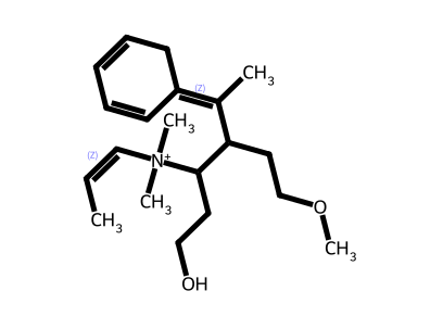 C/C=C\[N+](C)(C)C(CCO)C(CCOC)/C(C)=C1\C=CC=CC1